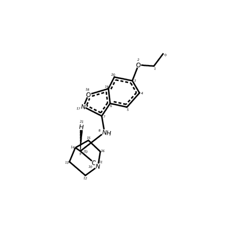 CCOc1ccc2c(N[C@@H]3CN4CCC3CC4)noc2c1